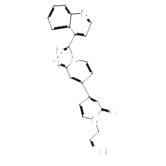 C=CCn1ccc(-c2ccn3c(-c4ccnc5ccccc45)nnc3c2)cc1=O